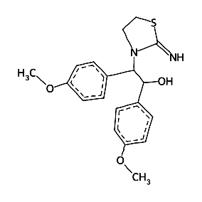 COc1ccc(C(O)C(c2ccc(OC)cc2)N2CCSC2=N)cc1